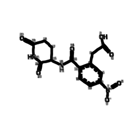 O=C(O)Cc1cc([N+](=O)[O-])ccc1C(=O)NC1CCC(=O)NC1=O